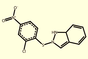 O=[N+]([O-])c1ccc(SN2C=C3C=CC=CC3N2)c(Cl)c1